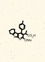 COc1nc2sc3c(c2c(-c2ccc(C)cc2)c1C(C)C(=O)O)CCCC3